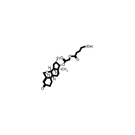 CCCCCCCCCCCCCC(=O)OCC(=O)O[C@H]1[C@@H](CC)C[C@H]2[C@@H]3CCC4=CC(=O)CC[C@@H]4[C@H]3CC[C@@]21C